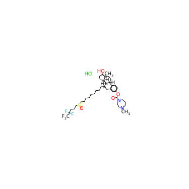 CN1CCCN(C(=O)Oc2ccc3c(c2)C[C@@H](CCCCCCCCC[S+]([O-])CCCC(F)(F)C(F)(F)F)[C@@H]2[C@@H]3CC[C@]3(C)[C@@H](O)CC[C@@H]23)CC1.Cl